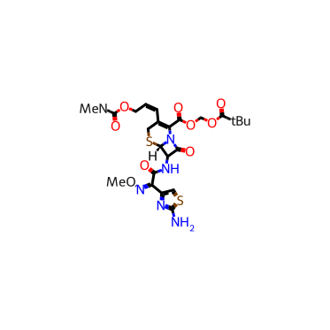 CNC(=O)OC/C=C\C1=C(C(=O)OCOC(=O)C(C)(C)C)N2C(=O)C(NC(=O)/C(=N\OC)c3csc(N)n3)[C@@H]2SC1